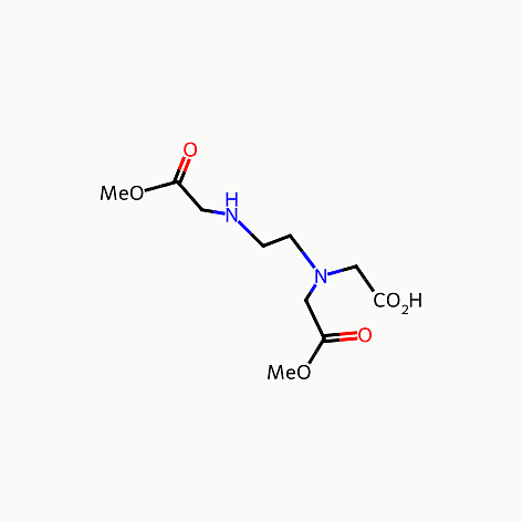 COC(=O)CNCCN(CC(=O)O)CC(=O)OC